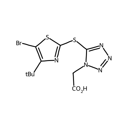 CC(C)(C)c1nc(Sc2nnnn2CC(=O)O)sc1Br